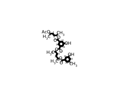 CC(=O)OC(C)/C=C/C(C)OC(=O)c1cc(O)cc(C(=O)OC(C)/C=C/C(C)OC(=O)c2cc(C)cc(O)c2)c1